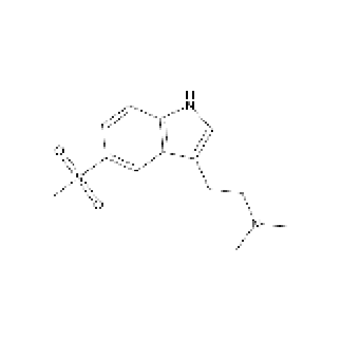 CN(C)CCc1c[nH]c2ccc(S(C)(=O)=O)cc12